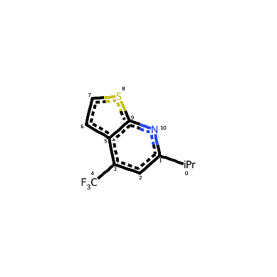 CC(C)c1cc(C(F)(F)F)c2ccsc2n1